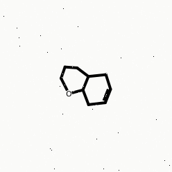 C1=CCC2OCCCC2C1